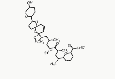 CCC(C=O)C1CCCC(C(C)CC(C)C(=O)[C@H](CC)CC(C)CC(C)C2(OF)C=CCC3(CCC(C4CCC(O)CO4)O3)O2)O1